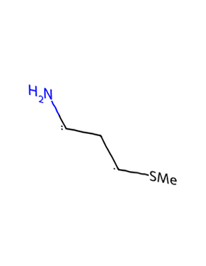 CS[CH]C[C]N